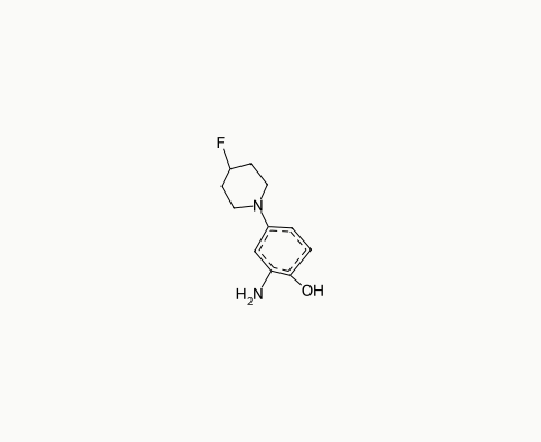 Nc1cc(N2CCC(F)CC2)ccc1O